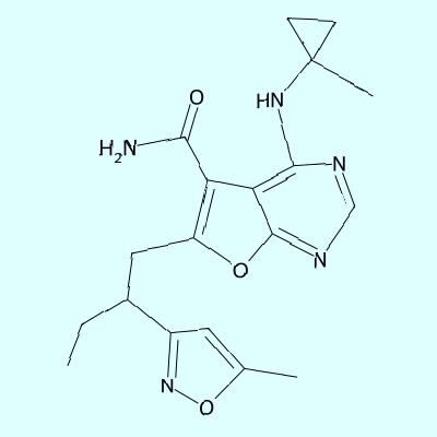 CCC(Cc1oc2ncnc(NC3(C)CC3)c2c1C(N)=O)c1cc(C)on1